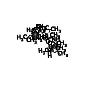 CN[C@@H](CC(C)C)C(=O)N[C@@H](C)C(=O)N[C@H](C)C(=O)N(C)[C@@H](CC(C)C)C(=O)C[C@@]([C]=O)(C(C)C)N(C)C(=O)[C@@H](N)CC(C)C